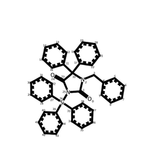 O=C1N(Cc2ccccc2)C(c2ccccc2)(c2ccccc2)C(=O)N1[Si](c1ccccc1)(c1ccccc1)c1ccccc1